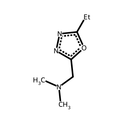 CCc1nnc(CN(C)C)o1